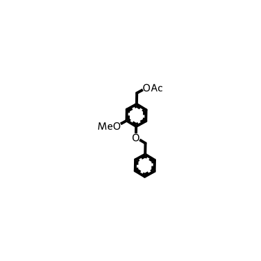 COc1cc(COC(C)=O)ccc1OCc1ccccc1